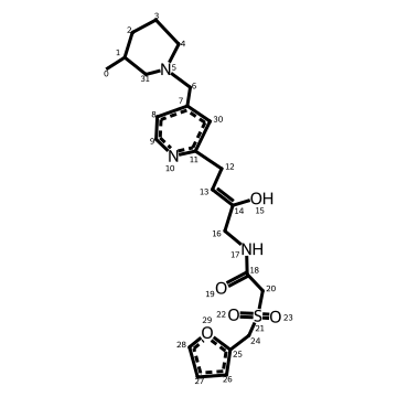 CC1CCCN(Cc2ccnc(CC=C(O)CNC(=O)CS(=O)(=O)Cc3ccco3)c2)C1